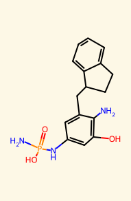 Nc1c(O)cc(NP(N)(=O)O)cc1CC1CCc2ccccc21